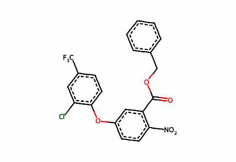 O=C(OCc1ccccc1)c1cc(Oc2ccc(C(F)(F)F)cc2Cl)ccc1[N+](=O)[O-]